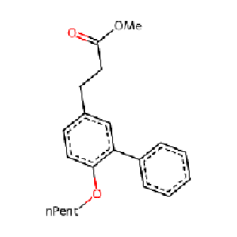 CCCCCOc1ccc(CCC(=O)OC)cc1-c1ccccc1